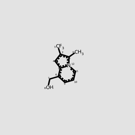 Cc1c(C(F)(F)F)cc2c(CO)cccn12